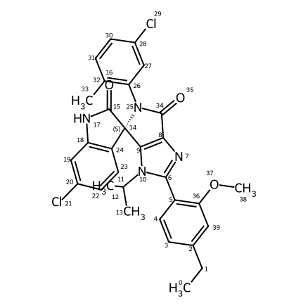 CCc1ccc(-c2nc3c(n2C(C)C)[C@@]2(C(=O)Nc4cc(Cl)ccc42)N(c2cc(Cl)ccc2C)C3=O)c(OC)c1